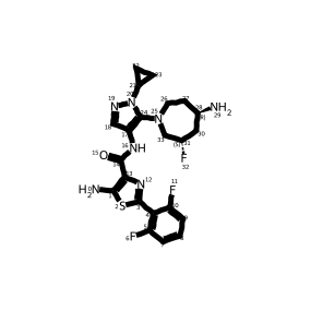 Nc1sc(-c2c(F)cccc2F)nc1C(=O)Nc1cnn(C2CC2)c1N1CC[C@@H](N)C[C@H](F)C1